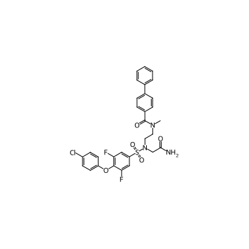 CN(CCN(CC(N)=O)S(=O)(=O)c1cc(F)c(Oc2ccc(Cl)cc2)c(F)c1)C(=O)c1ccc(-c2ccccc2)cc1